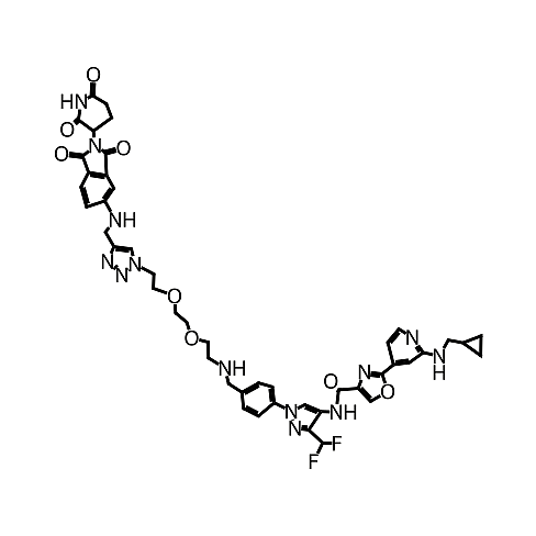 O=C1CCC(N2C(=O)c3ccc(NCc4cn(CCOCCOCCNCc5ccc(-n6cc(NC(=O)c7coc(-c8ccnc(NCC9CC9)c8)n7)c(C(F)F)n6)cc5)nn4)cc3C2=O)C(=O)N1